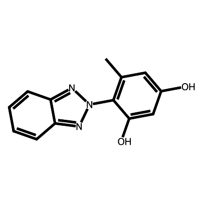 Cc1cc(O)cc(O)c1-n1nc2ccccc2n1